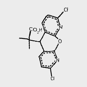 CC(C)(C(=O)O)C1c2ccc(Cl)nc2Oc2nc(Cl)ccc21